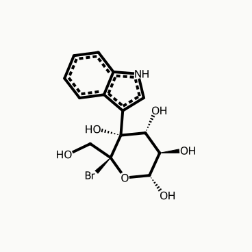 OC[C@@]1(Br)O[C@@H](O)[C@H](O)[C@@H](O)[C@]1(O)c1c[nH]c2ccccc12